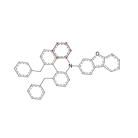 c1ccc(Cc2cccc(N(c3ccccc3)c3ccc4c(c3)oc3ccccc34)c2-c2c(Cc3ccccc3)ccc3ccccc23)cc1